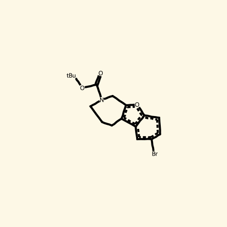 CC(C)(C)OC(=O)N1CCCc2c(oc3ccc(Br)cc23)C1